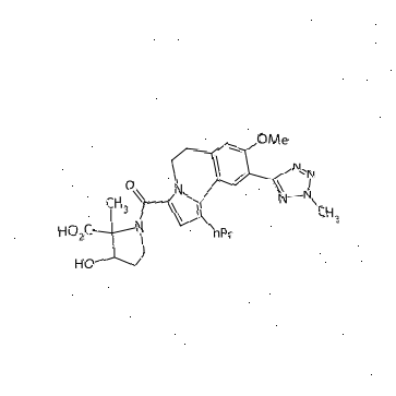 CCCc1cc(C(=O)N2CCC(O)C2(C)C(=O)O)n2c1-c1cc(-c3nnn(C)n3)c(OC)cc1CC2